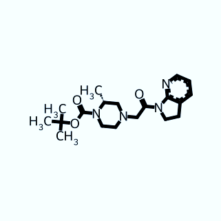 C[C@@H]1CN(CC(=O)N2CCc3cccnc32)CCN1C(=O)OC(C)(C)C